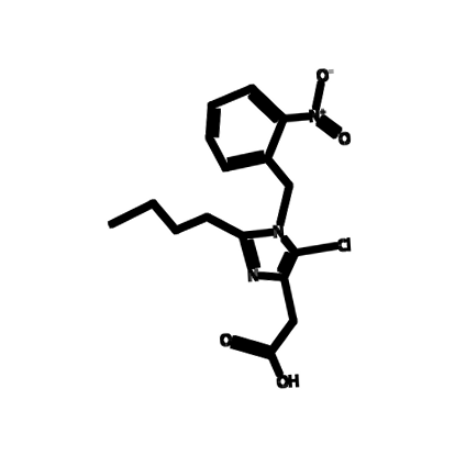 CCCCc1nc(CC(=O)O)c(Cl)n1Cc1ccccc1[N+](=O)[O-]